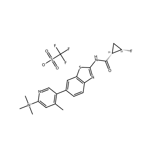 Cc1cc([N+](C)(C)C)ncc1-c1ccc2nc(NC(=O)[C@@H]3C[C@@H]3F)sc2c1.O=S(=O)([O-])C(F)(F)F